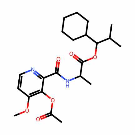 COc1ccnc(C(=O)NC(C)C(=O)OC(C(C)C)C2CCCCC2)c1OC(C)=O